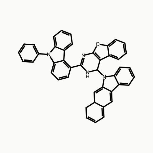 C1=CCC2C=c3c(c4ccccc4n3C3NC(c4cccc5c4c4ccccc4n5-c4ccccc4)=Nc4oc5ccccc5c43)=CC2=C1